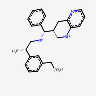 C[C@H](CN[C@H](c1ccccc1)[C@H]1CNc2cccnc2C1)c1cccc(CC(=O)O)c1